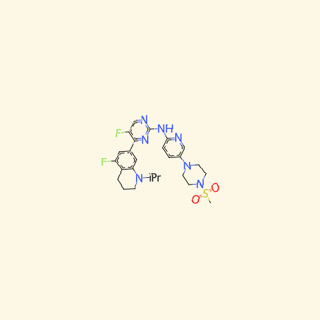 CC(C)N1CCCc2c(F)cc(-c3nc(Nc4ccc(N5CCN(S(C)(=O)=O)CC5)cn4)ncc3F)cc21